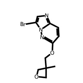 CC1(COc2ccc3ncc(Br)n3n2)COC1